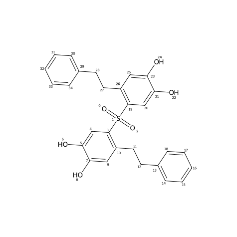 O=S(=O)(c1cc(O)c(O)cc1CCc1ccccc1)c1cc(O)c(O)cc1CCc1ccccc1